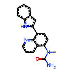 CN(C(N)=O)c1ccc(-c2cc3ccccc3[nH]2)c2ncccc12